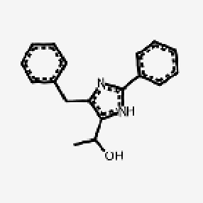 CC(O)c1[nH]c(-c2ccccc2)nc1Cc1ccccc1